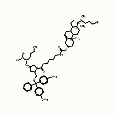 COc1ccc(C(OCC2C[C@@H](OP(OCCC#N)N(C(C)C)C(C)C)CN2C(=O)CCCCCNC(=O)O[C@H]2CC[C@@]3(C)C(=CCC4C3CC[C@@]3(C)C4CC[C@@H]3[C@H](C)CCCC(C)C)C2)(c2ccccc2)c2ccc(OC)cc2)cc1